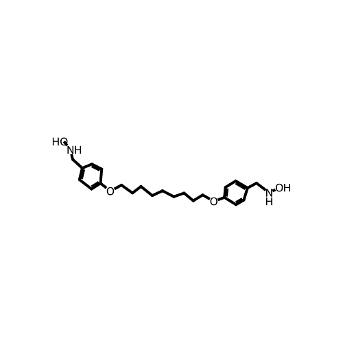 ONCc1ccc(OCCCCCCCCCOc2ccc(CNO)cc2)cc1